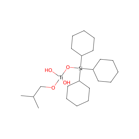 CC(C)C[O][Ti]([OH])([OH])[O][Si](C1CCCCC1)(C1CCCCC1)C1CCCCC1